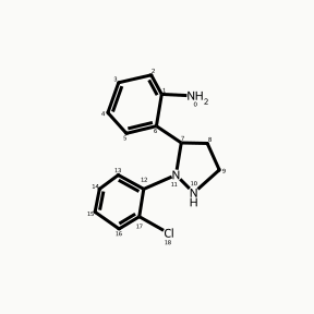 Nc1ccccc1C1CCNN1c1ccccc1Cl